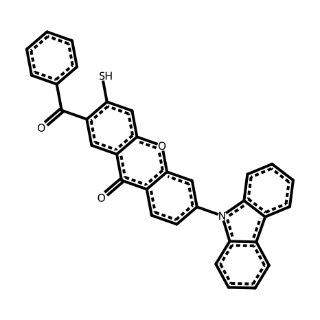 O=C(c1ccccc1)c1cc2c(=O)c3ccc(-n4c5ccccc5c5ccccc54)cc3oc2cc1S